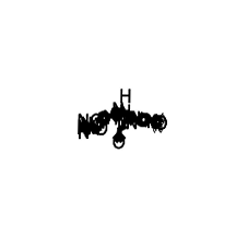 CC(Cn1cnnn1)Oc1cc(-c2cnc(Nc3cn(C4CCC(N5C[C@@H](C)O[C@@H](C)C5)CC4)nc3OCCC3COC3)nc2)ccc1C#N